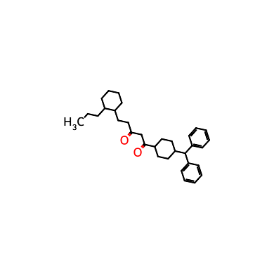 CCCC1CCCCC1CCC(=O)CC(=O)C1CCC(C(c2ccccc2)c2ccccc2)CC1